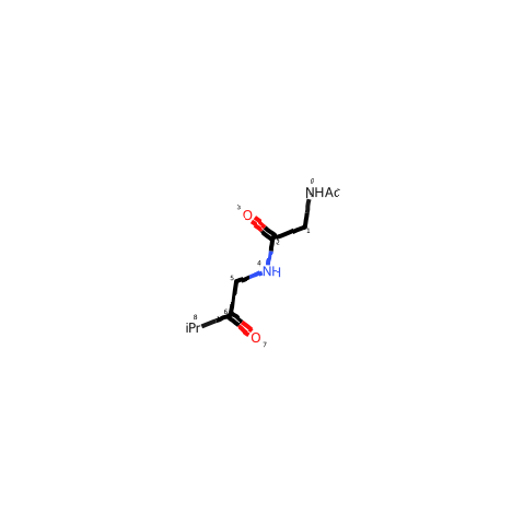 CC(=O)NCC(=O)NCC(=O)C(C)C